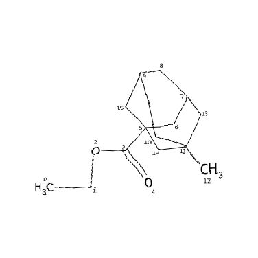 C[CH]OC(=O)C12CC3CC(CC(C)(C3)C1)C2